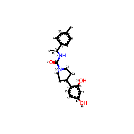 Cc1ccc([C@H](C)NC(=O)N2CCC(c3ccc(O)cc3O)CC2)cc1